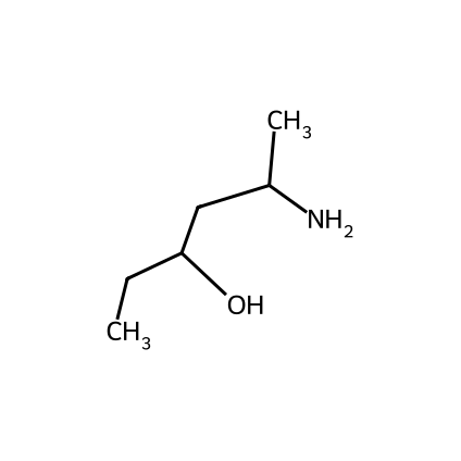 CCC(O)CC(C)N